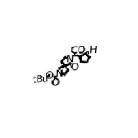 CC(C)(C)OC(=O)N1CC[C@]2(CCN([C@H](C(=O)O)C3CCCC3)C2=O)C1